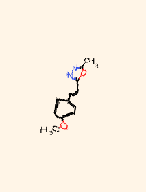 COc1ccc(/C=C/c2nnc(C)o2)cc1